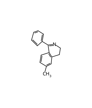 Cc1ccc2c(c1)CCN=C2c1ccccc1